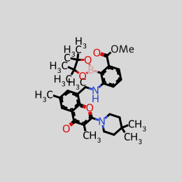 COC(=O)c1cccc(NC(C)c2cc(C)cc3c(=O)c(C)c(N4CCC(C)(C)CC4)oc23)c1B1OC(C)(C)C(C)(C)O1